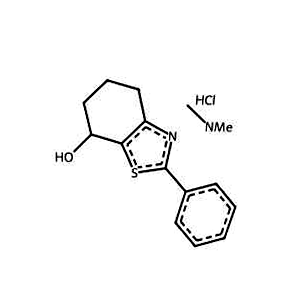 CNC.Cl.OC1CCCc2nc(-c3ccccc3)sc21